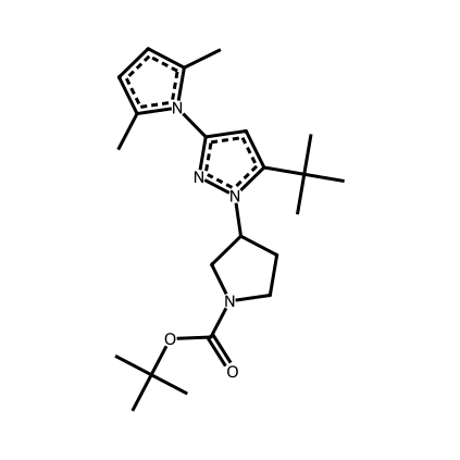 Cc1ccc(C)n1-c1cc(C(C)(C)C)n(C2CCN(C(=O)OC(C)(C)C)C2)n1